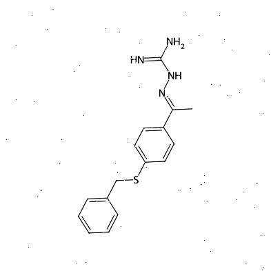 CC(=NNC(=N)N)c1ccc(SCc2ccccc2)cc1